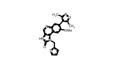 COc1cc2c(cc1-c1c(C)noc1C)ncc1[nH]c(=O)n(Cc3cccs3)c12